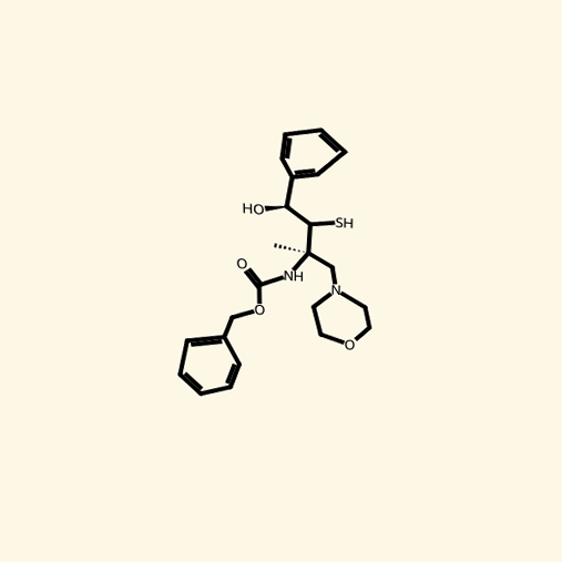 C[C@](CN1CCOCC1)(NC(=O)OCc1ccccc1)C(S)[C@@H](O)c1ccccc1